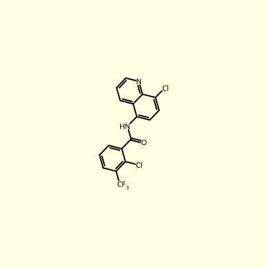 O=C(Nc1ccc(Cl)c2ncccc12)c1cccc(C(F)(F)F)c1Cl